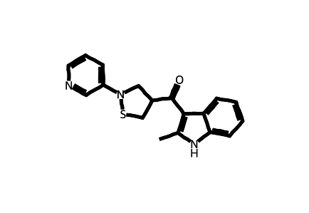 Cc1[nH]c2ccccc2c1C(=O)C1CSN(c2cccnc2)C1